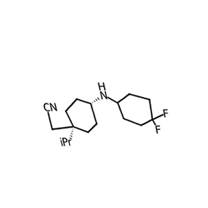 CC(C)[C@]1(CC#N)CC[C@H](NC2CCC(F)(F)CC2)CC1